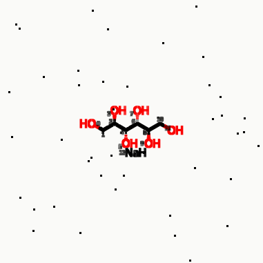 OC[C@@H](O)[C@@H](O)[C@H](O)[C@H](O)CO.[NaH]